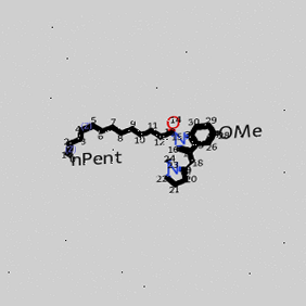 CCCCC/C=C\C/C=C\CCCCCCCC(=O)n1cc(C[C@H]2CCCN2C)c2cc(OC)ccc21